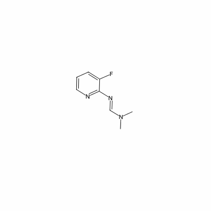 CN(C)C=Nc1ncccc1F